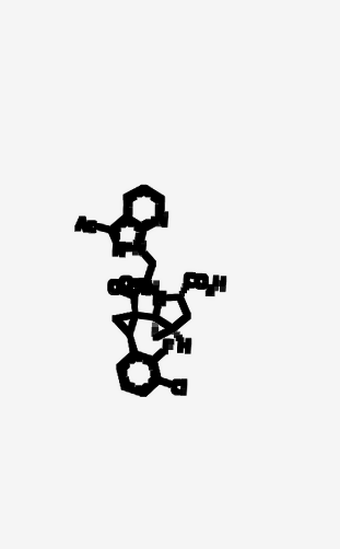 CC(=O)c1nn(CC(=O)N2[C@H](C(=O)O)C[C@H]3C[C@@]32[C@@]2(C(N)=O)C[C@@H]2c2cccc(Cl)c2F)c2ncccc12